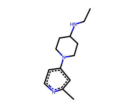 CCNC1CCN(c2ccnc(C)c2)CC1